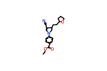 CCOC(=O)c1ccc(N2C=C(C#N)C(CCC3CCCO3)C2)cc1